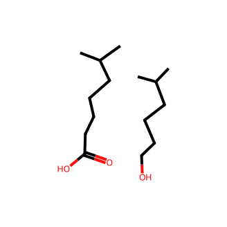 CC(C)CCCCC(=O)O.CC(C)CCCCO